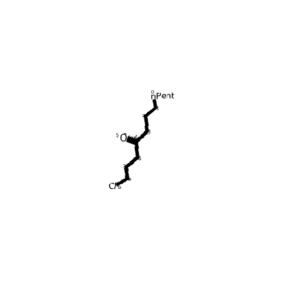 CCCCCCCCC(=O)CCCCl